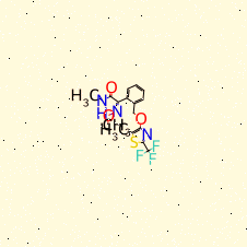 CNC(=O)C(=NOC)c1ccccc1COc1nc(C(F)(F)F)sc1C